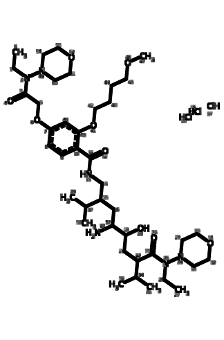 CCN(C(=O)COc1ccc(C(=O)NCC(CC(N)C(O)CC(C(=O)N(CC)N2CCOCC2)C(C)C)C(C)C)c(OCCCCOC)c1)N1CCOCC1.Cl.Cl.Cl